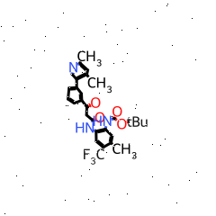 Cc1cc(C)c(-c2cccc(C(=O)CC(=O)Nc3cc(C(F)(F)F)c(C)cc3NC(=O)OC(C)(C)C)c2)cn1